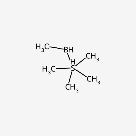 CB[SH](C)(C)(C)C